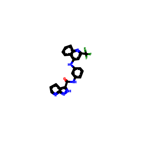 O=C(Nc1cccc(Nc2cc(C(F)(F)F)nc3ccccc23)c1)c1[nH]nc2ncccc12